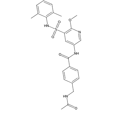 COc1ncc(NC(=O)c2ccc(CNC(C)=O)cc2)cc1S(=O)(=O)Nc1c(C)cccc1C